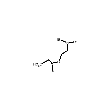 CCN(CC)CCSN(C)CC(=O)O